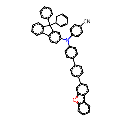 N#Cc1ccc(N(c2ccc(-c3ccc(-c4ccc5c(c4)oc4ccccc45)cc3)cc2)c2ccc3c(c2)C(c2ccccc2)(C2C=CC=CC2)c2ccccc2-3)cc1